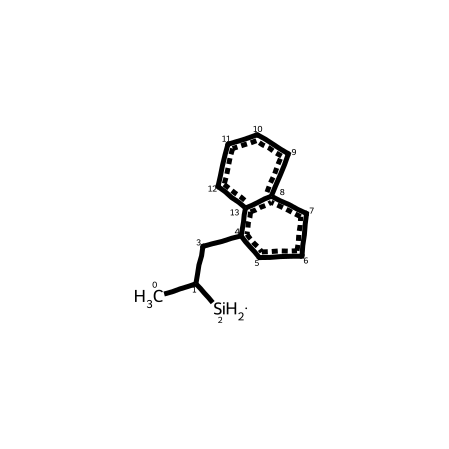 CC([SiH2])Cc1cccc2ccccc12